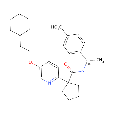 C[C@H](NC(=O)C1(c2ccc(OCCC3CCCCC3)cn2)CCCC1)c1ccc(C(=O)O)cc1